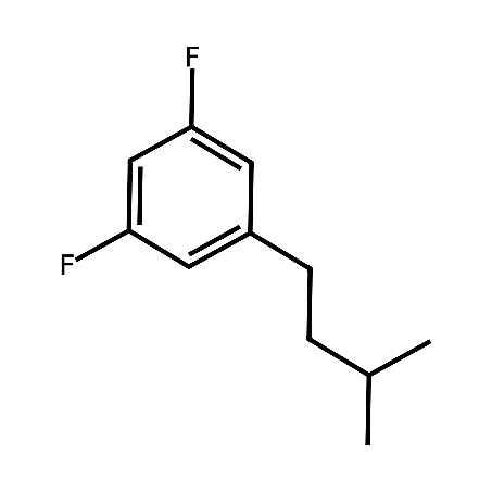 CC(C)CCc1cc(F)cc(F)c1